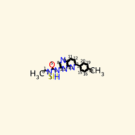 CCN(S)C(=O)Nc1cnc2ccc(-c3ccc(C)cc3)nc2n1